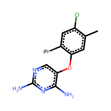 Cc1cc(Oc2cnc(N)nc2N)c(C(C)C)cc1Cl